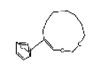 C1=C(C2Cc3ccc2cc3)CCCCCCCCCC1